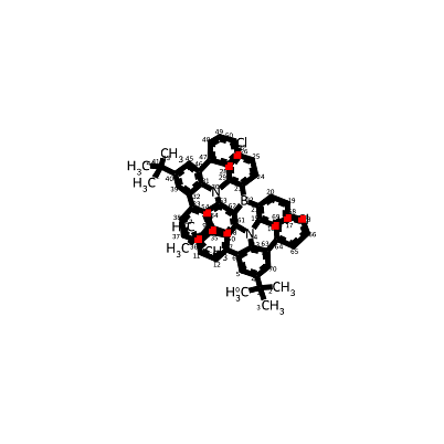 CC(C)(C)c1cc(-c2ccccc2)c(N2c3cc(Cl)ccc3B3c4ccc(Cl)cc4N(c4c(-c5ccccc5)cc(C(C)(C)C)cc4-c4ccccc4)c4cc(C(C)(C)C)cc2c43)c(-c2ccccc2)c1